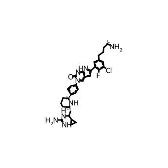 C[C@H](N)CCCc1cc(Cl)c(F)c(-c2cc3cn(-c4ccc([C@@H]5CCC[C@@H](CC(NC(=N)N)C6CC6)N5)cc4)c(=O)nc3[nH]2)c1